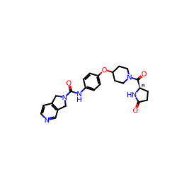 O=C1CC[C@H](C(=O)N2CCC(Oc3ccc(NC(=O)N4Cc5ccncc5C4)cc3)CC2)N1